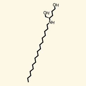 CCCCCCCCCCCCCCCCCCN[C@@H](CO)CCCO